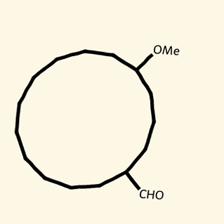 COC1CCCCCCCCCCC(C=O)CCC1